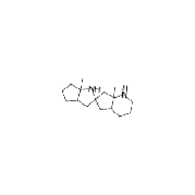 CC12CC3(CC1CCCN2)CC1CCCC1(C)N3